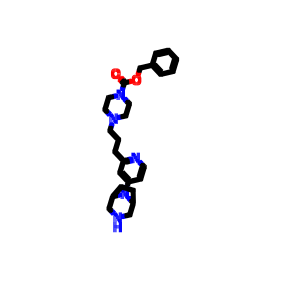 O=C(OCc1ccccc1)N1CCN(CCCc2cc(N3C4CCC3CNC4)ccn2)CC1